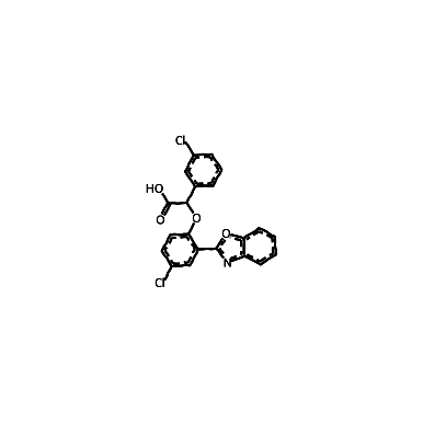 O=C(O)C(Oc1ccc(Cl)cc1-c1nc2ccccc2o1)c1cccc(Cl)c1